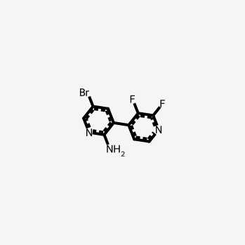 Nc1ncc(Br)cc1-c1ccnc(F)c1F